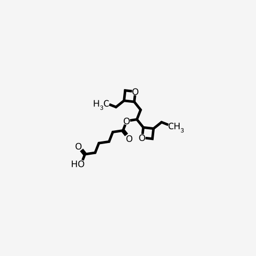 CCC1COC1CC(OC(=O)CCCCC(=O)O)C1OCC1CC